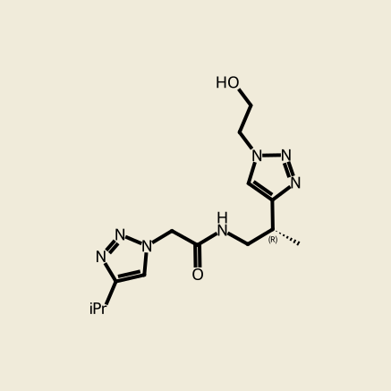 CC(C)c1cn(CC(=O)NC[C@@H](C)c2cn(CCO)nn2)nn1